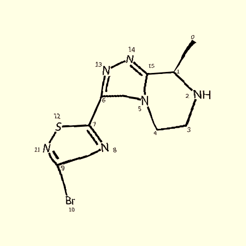 C[C@H]1NCCn2c(-c3nc(Br)ns3)nnc21